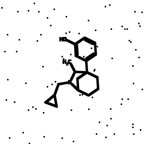 CC1N(CC2CC2)C2CCCC1(c1cccc(O)c1)C2